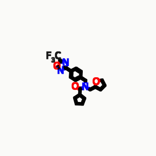 O=C(C1CCCC1)N(Cc1ccc(-c2noc(C(F)(F)F)n2)cc1)CC1CCCO1